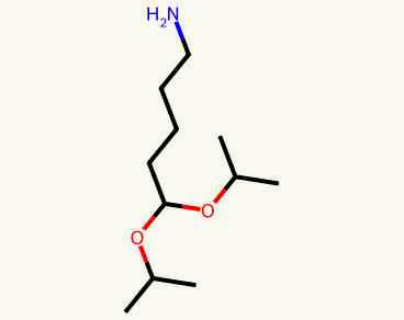 CC(C)OC(CCCCN)OC(C)C